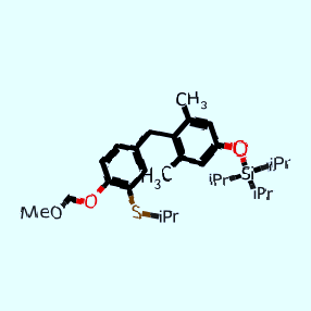 COCOc1ccc(Cc2c(C)cc(O[Si](C(C)C)(C(C)C)C(C)C)cc2C)cc1SC(C)C